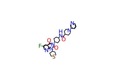 O=C(NC1CCC(n2c(=O)c3cc(F)cnc3n(C3CCSCC3)c2=O)CC1)C1CCN(c2cccnc2)CC1